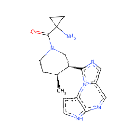 C[C@H]1CCN(C(=O)C2(N)CC2)C[C@H]1c1ncc2cnc3[nH]ccc3n12